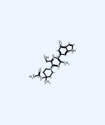 Cc1nc(N2CCC(C)(OC(N)=O)CC2)c(CO)nc1-c1cc(Cl)c2cc[nH]c2c1